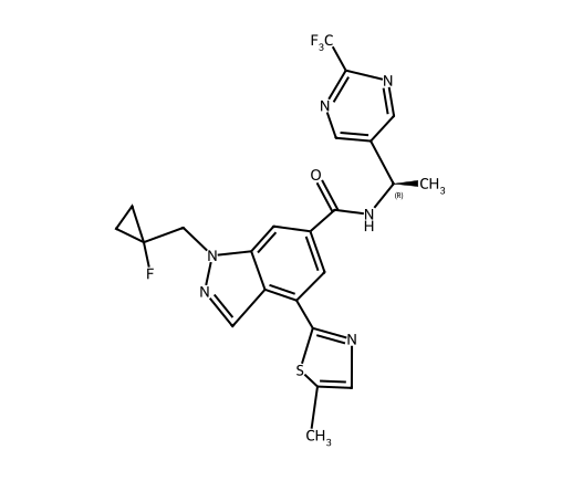 Cc1cnc(-c2cc(C(=O)N[C@H](C)c3cnc(C(F)(F)F)nc3)cc3c2cnn3CC2(F)CC2)s1